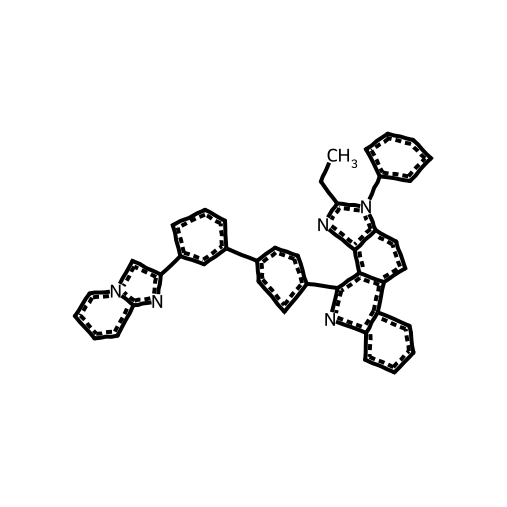 CCc1nc2c3c(-c4ccc(-c5cccc(-c6cn7ccccc7n6)c5)cc4)nc4ccccc4c3ccc2n1-c1ccccc1